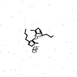 CCCCC1=CCC(C)=[C]1[Zr+2][C]1=C(C)CC=C1CCCC.[Cl-].[Cl-]